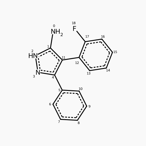 Nc1[nH]nc(-c2ccccc2)c1-c1ccccc1F